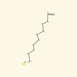 C[CH]CCCCCCCCCCCCS